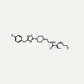 C/C=C(\C=C/CCF)C(=O)NCCN1CCN(c2nc(Cc3ccc(F)cc3)ns2)CC1